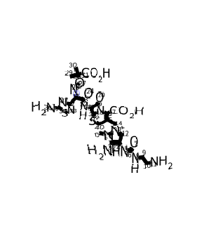 Cn1c(N)c(NC(=O)NCCN)c[n+]1CC1=C(C(=O)O)N2C(=O)[C@@H](NC(=O)/C(=N\OC(C)(C)C(=O)O)c3nsc(N)n3)C2SC1